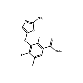 COC(=O)c1cc(F)c(F)c(Oc2cnc(N)s2)c1F